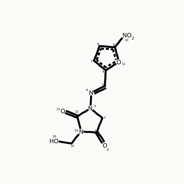 O=C1CN(N=Cc2ccc([N+](=O)[O-])o2)C(=O)N1CO